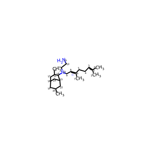 CC(C)=CCC/C(C)=C/CN(CCN)C1C(C)CC2CC(C)CC1C2